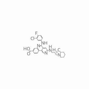 CC1CCCCN1CCCNc1cc2c(Nc3ccc(F)c(Cl)c3)nc3cc(C(=O)O)ccc3c2cn1